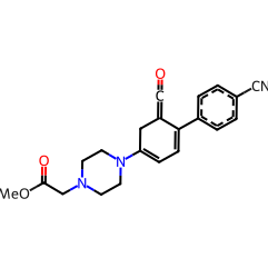 COC(=O)CN1CCN(C2=CC=C(c3ccc(C#N)cc3)C(=C=O)C2)CC1